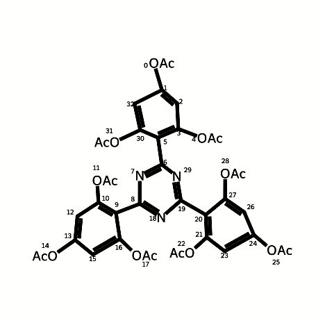 CC(=O)Oc1cc(OC(C)=O)c(-c2nc(-c3c(OC(C)=O)cc(OC(C)=O)cc3OC(C)=O)nc(-c3c(OC(C)=O)cc(OC(C)=O)cc3OC(C)=O)n2)c(OC(C)=O)c1